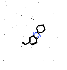 C=Cc1ccc2c(c1)=NC1(CCCCC1)N=2